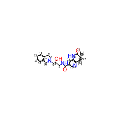 O=C(NC[C@H](O)CN1CCc2ccccc2C1)c1cnc2c(c1)NC(=O)[C@@H]1C[C@H]21